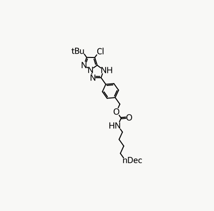 CCCCCCCCCCCCCCNC(=O)OCc1ccc(-c2nn3nc(C(C)(C)C)c(Cl)c3[nH]2)cc1